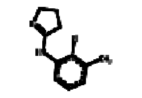 Cc1cccc(NC2=NCCC2)c1Cl